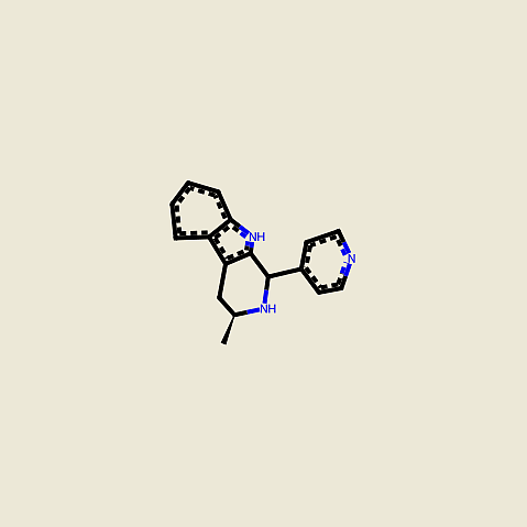 C[C@H]1Cc2c([nH]c3ccccc23)C(c2ccncc2)N1